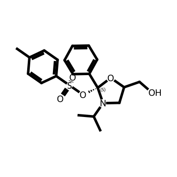 Cc1ccc(S(=O)(=O)O[C@]2(c3ccccc3)OC(CO)CN2C(C)C)cc1